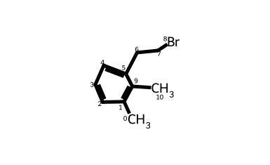 Cc1cccc(CCBr)c1C